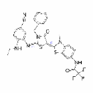 CCNc1ccc(C#N)cc1/N=C1/S/C(=C2\Sc3cc(NC(=O)C(F)(F)F)ccc3N2C)C(=O)N1Cc1ccccc1